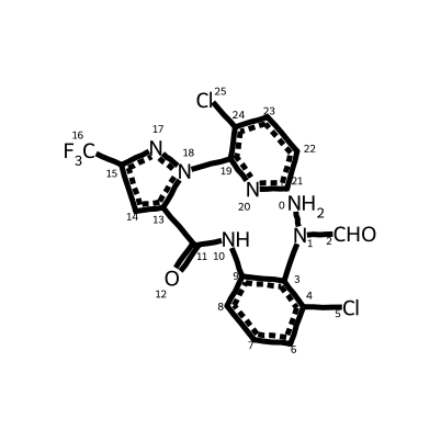 NN(C=O)c1c(Cl)cccc1NC(=O)c1cc(C(F)(F)F)nn1-c1ncccc1Cl